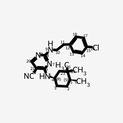 C[C@H]1CC[C@@H](Nc2nc(NCCc3ccc(Cl)cc3)ncc2C#N)CC1(C)C